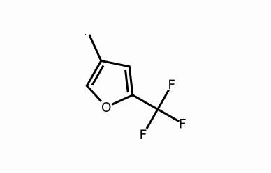 [CH2]c1coc(C(F)(F)F)c1